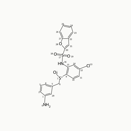 Nc1cccc(C[S+]([O-])c2ccc(Cl)cc2NS(=O)(=O)c2cc3ccccc3o2)c1